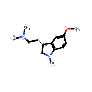 COc1ccc2c(c1)[C@@H](CCN(C)C)CN2C